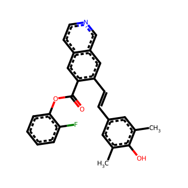 Cc1cc(/C=C/c2cc3cnccc3cc2C(=O)Oc2ccccc2F)cc(C)c1O